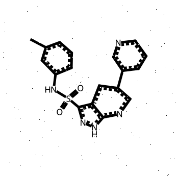 Cc1cccc(NS(=O)(=O)c2n[nH]c3ncc(-c4cccnc4)cc23)c1